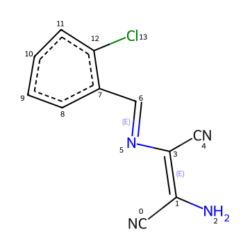 N#C/C(N)=C(C#N)\N=C\c1ccccc1Cl